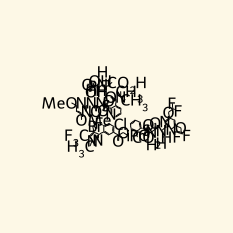 CC(C)OC(=O)c1cc(-c2nn(C)c(C(F)(F)F)c2Br)c(F)cc1Cl.COc1cc(OC)nc(NC(=O)NS(=O)(=O)c2ncccc2C(=O)N(C)C)n1.O=C(Nc1nc(OC(F)F)cc(OC(F)F)n1)NS(=O)(=O)c1ccccc1C(=O)O.O=C(O)CNCP(=O)(O)O